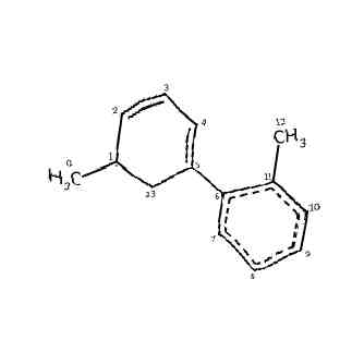 C[C]1C=CC=C(c2ccccc2C)C1